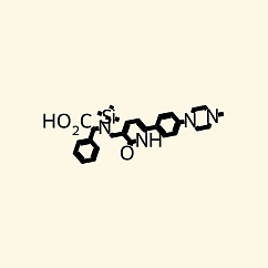 CN1CCN(c2ccc(-c3ccc(CN(C(C(=O)O)c4ccccc4)[Si](C)(C)C)c(=O)[nH]3)cc2)CC1